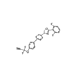 N#CC(F)(F)Oc1ccc(-c2ccc(C3COC(c4c(F)cccc4F)=N3)cc2)cc1